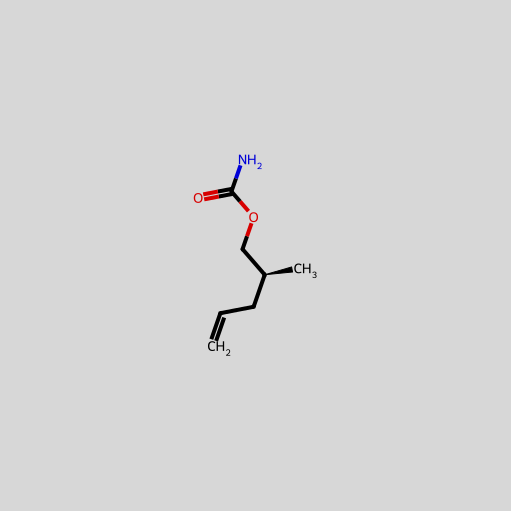 C=CC[C@H](C)COC(N)=O